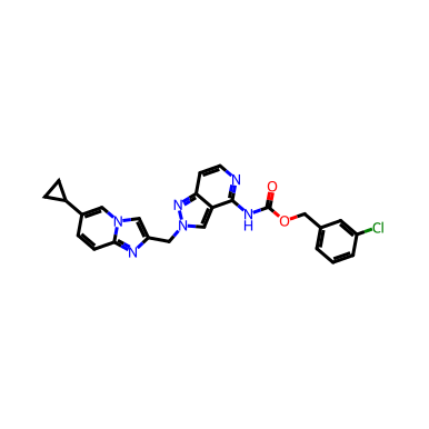 O=C(Nc1nccc2nn(Cc3cn4cc(C5CC5)ccc4n3)cc12)OCc1cccc(Cl)c1